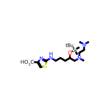 CN(C)CCN(C)CC(CCCNc1nc(C(=O)O)cs1)O[Si](C)(C)C(C)(C)C